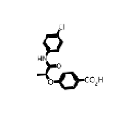 CC(Oc1ccc(C(=O)O)cc1)C(=O)Nc1ccc(Cl)cc1